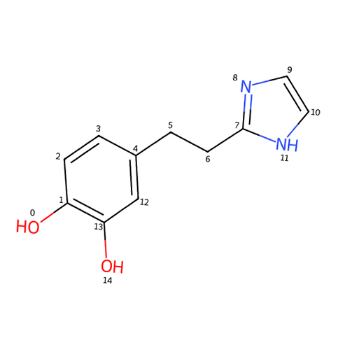 Oc1ccc(CCc2ncc[nH]2)cc1O